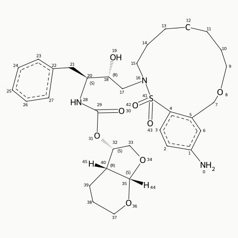 Nc1ccc2c(c1)COCCCCCCCN(C[C@@H](O)[C@H](Cc1ccccc1)NC(=O)O[C@@H]1CO[C@@H]3OCCC[C@@H]31)S2(=O)=O